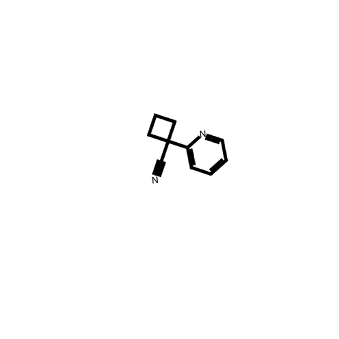 N#CC1(c2ccccn2)CCC1